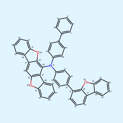 c1ccc(-c2ccc(N(c3ccc(-c4cccc5c4oc4ccccc45)cc3)c3c4oc5ccccc5c4cc4oc5ccccc5c34)cc2)cc1